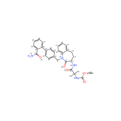 CC(C)(C)OC(=O)NC(C)(C)C(=O)NC1CCc2ccccc2N(Cc2ccc(-c3ccccc3C(N)=O)cc2)C1=O